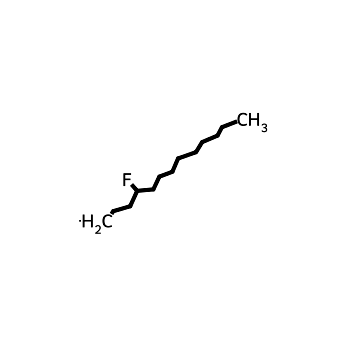 [CH2]CCC(F)CCCCCCCCC